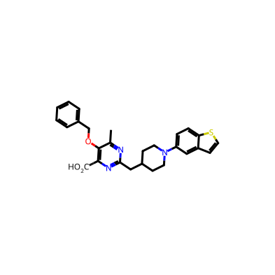 Cc1nc(CC2CCN(c3ccc4sccc4c3)CC2)nc(C(=O)O)c1OCc1ccccc1